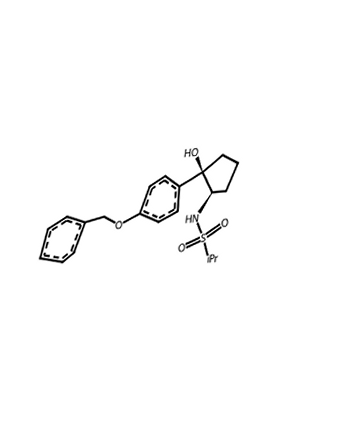 CC(C)S(=O)(=O)N[C@@H]1CCC[C@@]1(O)c1ccc(OCc2ccccc2)cc1